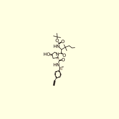 C#Cc1ccc([C@H](C)NC(=O)[C@@H]2C[C@@H](O)CN2C(=O)C(NC(=O)OC(C)(C)C)C(C)(C)CCC)cc1